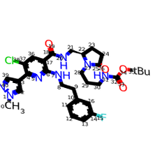 Cn1cc(-c2nc(NCCc3cccc(F)c3)c(C(=O)NC[C@H]3CCC(=O)N3CCCNC(=O)OC(C)(C)C)cc2Cl)cn1